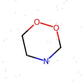 C1COOC[N]1